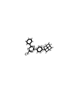 Clc1nc(-c2ccccc2)nc(-c2ccc(C34CC5CC6CC(C3)C654)cc2)n1